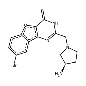 C=C1NC(CN2CC[C@@H](N)C2)=Nc2c1oc1ccc(Br)cc21